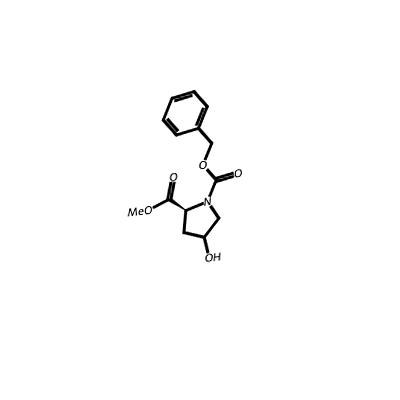 COC(=O)[C@@H]1CC(O)CN1C(=O)OCc1ccccc1